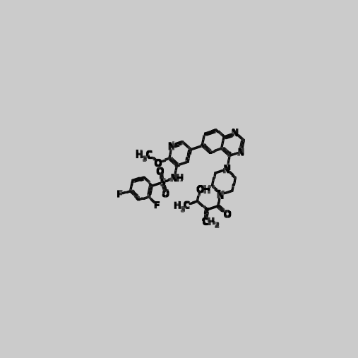 C=C(C(=O)N1CCN(c2ncnc3ccc(-c4cnc(OC)c(NS(=O)(=O)c5ccc(F)cc5F)c4)cc23)CC1)C(C)O